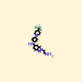 NCCn1cc2cc(Nc3ccc(N4CCC(C(F)(F)F)CC4)cc3)ccc2n1